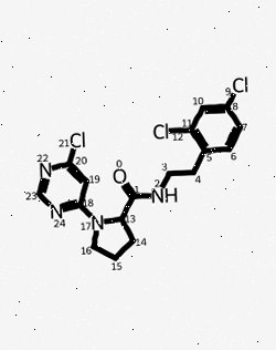 O=C(NCCc1ccc(Cl)cc1Cl)C1CCCN1c1cc(Cl)ncn1